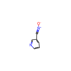 [O-][N+]#Cc1cccnc1